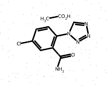 CC(=O)O.NC(=O)c1cc(Cl)ccc1-n1cnnn1